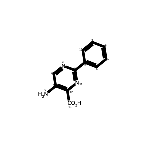 Nc1cnc(-c2ccccc2)nc1C(=O)O